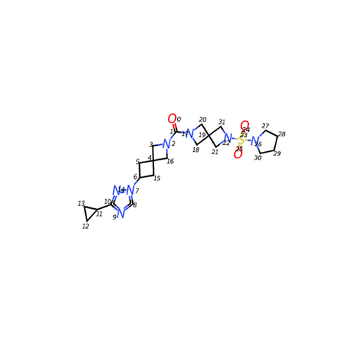 O=C(N1CC2(CC(n3cnc(C4CC4)n3)C2)C1)N1CC2(C1)CN(S(=O)(=O)N1CCCC1)C2